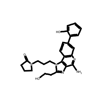 Nc1nc2cc(-c3ccccc3O)ccc2c2c1nc(CCO)n2CCCN1CCCC1=O